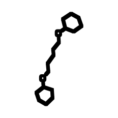 C(CCOC1CCCCC1)CCOC1CCCCC1